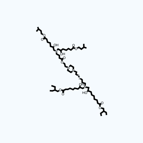 CCC(CC)COC(=O)CCCCCCC(O)CN(CCCSSCCN1CCN(CCOC(=O)CCCN(CC(O)CCCCC(=O)OCCC(C)C)CC(O)CCCCC(=O)OCCC(C)C)CC1)CC(O)CCCCCCC(=O)OCC(CC)CC